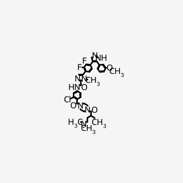 CCC(CCN(C)C)C(=O)N1CCN(C(=O)c2ccc(NC(=O)c3ncc(-c4ccc(-c5cn[nH]c5-c5cccc(OC)c5)c(F)c4F)n3C)cc2Cl)CC1